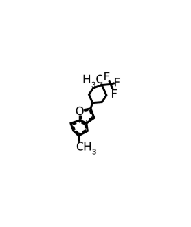 Cc1ccc2oc(C3CCC(C)(C(F)(F)F)CC3)cc2c1